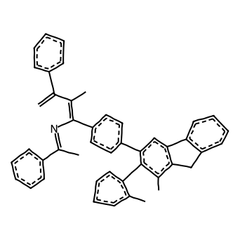 C=C(/C(C)=C(\N=C(/C)c1ccccc1)c1ccc(-c2cc3c(c(C)c2-c2ccccc2C)Cc2ccccc2-3)cc1)c1ccccc1